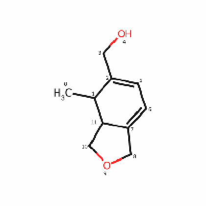 CC1C(CO)=CC=C2COCC21